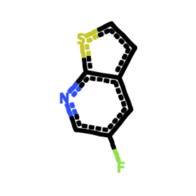 Fc1cnc2sccc2c1